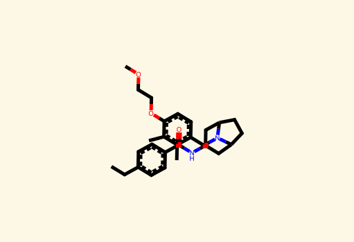 CCc1ccc(C(=O)NC2CC3CCC(C2)N3Cc2ccc(OCCOC)c(C)c2C)cc1